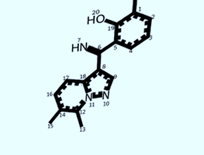 Cc1cccc(C(=N)c2cnn3c(C)c(C)ccc23)c1O